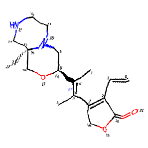 C=CC1=C(/C(C)=C(\C)[C@@H]2CN3CCNC[C@@H]3CO2)COC1=O